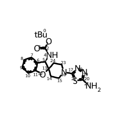 CC(C)(C)OC(=O)N[C@@H]1c2ccccc2OC12CCN(c1nnc(N)s1)CC2